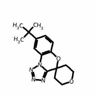 CC(C)(C)c1ccc2c(c1)-n1nnnc1C1(CCOCC1)O2